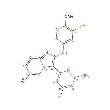 COc1ncc(Nc2nc3ccc(C(C)=O)cn3c2-c2nc(C)nc(N)n2)cc1F